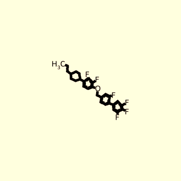 CCCC1CCC(c2ccc(OCc3ccc(-c4cc(F)c(F)c(F)c4)c(F)c3)c(F)c2F)CC1